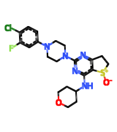 [O-][S+]1CCc2nc(N3CCN(c4ccc(Cl)c(F)c4)CC3)nc(NC3CCOCC3)c21